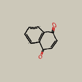 O=C1C=CC(=O)c2[c]cc[c]c21